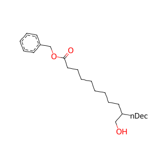 CCCCCCCCCCC(CO)CCCCCCCCC(=O)OCc1ccccc1